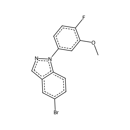 COc1cc(-n2ncc3cc(Br)ccc32)ccc1F